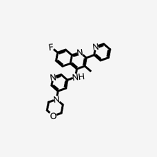 Cc1c(-c2ccccn2)nc2cc(F)ccc2c1Nc1cncc(N2CCOCC2)c1